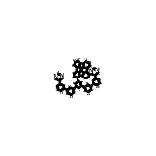 c1cc(-c2cncnc2)cc(-c2cccc(-c3cc(-c4cccc(-c5cccc(-c6cncnc6)c5)c4)cc(-c4ccc5c(c4)C4(c6ccccc6-c6ccccc64)c4ccccc4-5)c3)c2)c1